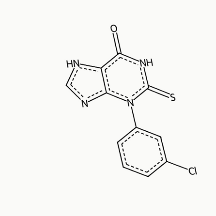 O=c1[nH]c(=S)n(-c2cccc(Cl)c2)c2nc[nH]c12